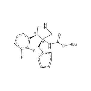 CC(C)(C)OC(=O)N[C@@]1(Cc2ccccc2)CNC[C@@H]1c1cccc(F)c1F